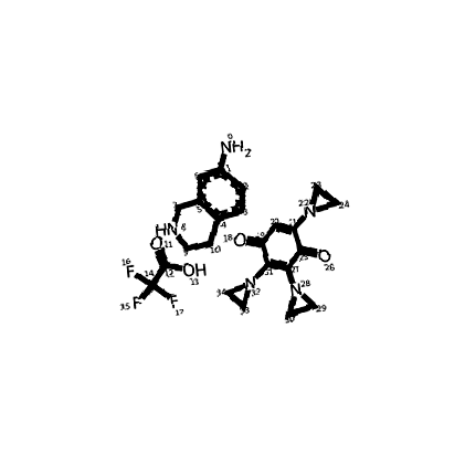 Nc1ccc2c(c1)CNCC2.O=C(O)C(F)(F)F.O=C1C=C(N2CC2)C(=O)C(N2CC2)=C1N1CC1